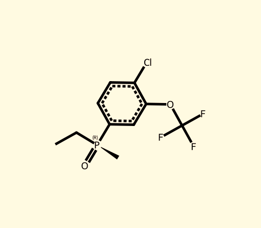 CC[P@@](C)(=O)c1ccc(Cl)c(OC(F)(F)F)c1